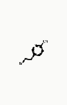 N#Cc1ccc(CCBr)cn1